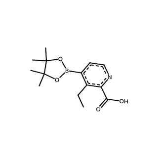 CCc1c(B2OC(C)(C)C(C)(C)O2)ccnc1C(=O)O